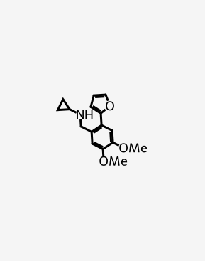 COc1cc(CNC2CC2)c(-c2ccco2)cc1OC